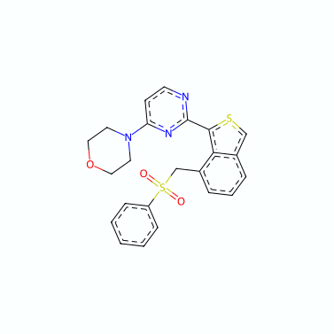 O=S(=O)(Cc1cccc2csc(-c3nccc(N4CCOCC4)n3)c12)c1ccccc1